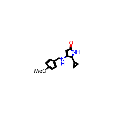 COc1ccc(CNC2=CC(=O)NC2C2CC2)cc1